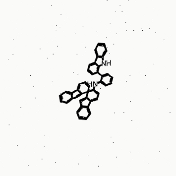 C1=CC2(C(Nc3ccccc3-c3cccc4c3[nH]c3ccccc34)=CC=C3C2=Cc2ccccc23)C2=Cc3ccccc3C2=C1